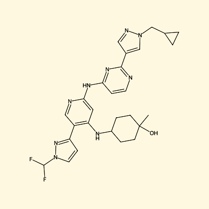 CC1(O)CCC(Nc2cc(Nc3ccnc(-c4cnn(CC5CC5)c4)n3)ncc2-c2ccn(C(F)F)n2)CC1